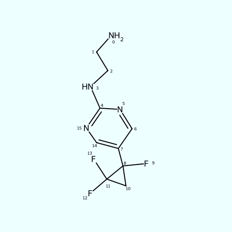 NCCNc1ncc(C2(F)CC2(F)F)cn1